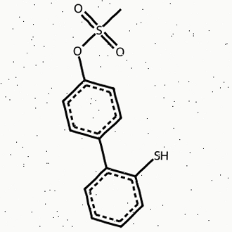 CS(=O)(=O)Oc1ccc(-c2ccccc2S)cc1